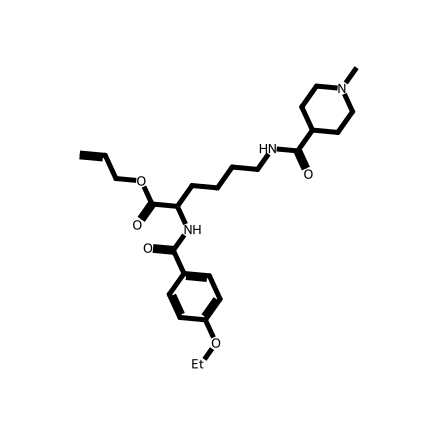 C=CCOC(=O)C(CCCCNC(=O)C1CCN(C)CC1)NC(=O)c1ccc(OCC)cc1